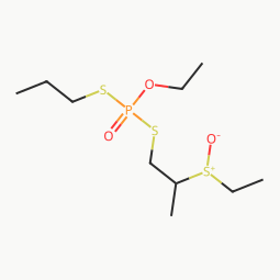 CCCSP(=O)(OCC)SCC(C)[S+]([O-])CC